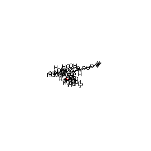 CCC(C)[C@@H]([C@@H](CC(=O)N1CCC[C@H]1[C@H](OC)[C@@H](C)C(=O)NC(Cc1ccccc1)C(=O)O)OC)N(C)C(=O)[C@@H](NC(=O)[C@H](C(C)C)N(C)C(=O)OCc1ccc(O[C@@H]2O[C@H](CO)[C@H](O)[C@H](O)[C@H]2O)c2cc(CCC(=O)NCCOCCOCCOCCN=[N+]=[N-])sc12)C(C)C